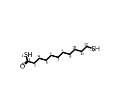 O=C(S)CCCCCCCCCCS